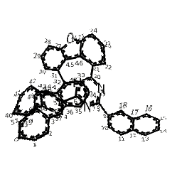 c1ccc2cc(-c3nc(-c4ccc5ccccc5c4)nc(-c4cccc5oc6cccc(-c7cccc8sc9ccccc9c78)c6c45)n3)ccc2c1